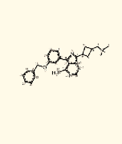 CN(C)CC1CC(c2nc(-c3cccc(OCc4ccccc4)c3)c3c(N)ncnn23)C1